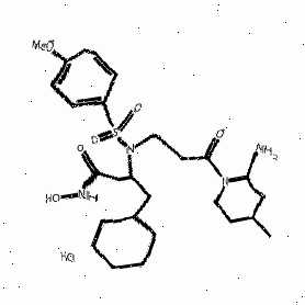 COc1ccc(S(=O)(=O)N(CCC(=O)N2CCC(C)CC2N)C(CC2CCCCC2)C(=O)NO)cc1.Cl